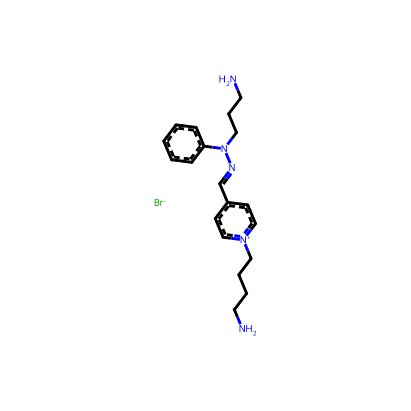 NCCCC[n+]1ccc(/C=N/N(CCCN)c2ccccc2)cc1.[Br-]